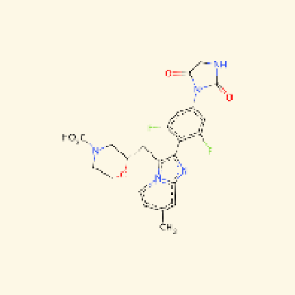 Cc1ccn2c(C[C@H]3CN(C(=O)O)CCO3)c(-c3c(F)cc(N4C(=O)CNC4=O)cc3F)nc2c1